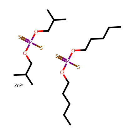 CC(C)COP(=S)([S-])OCC(C)C.CCCCCOP(=S)([S-])OCCCCC.[Zn+2]